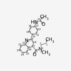 CCCN(C)C(=O)c1cc(-c2ccc(NC(C)=O)cc2)nc2ccccc12